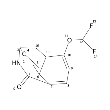 O=C1NC2CC=C3C1=CC=C(OC(F)F)C3C2